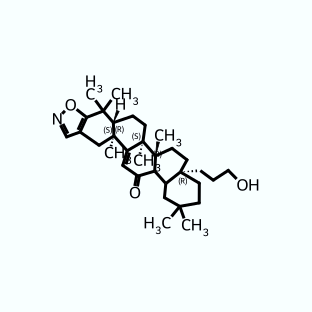 CC1(C)CC[C@]2(CCCO)CC[C@]3(C)C(C(=O)C=C4[C@@]5(C)Cc6cnoc6C(C)(C)[C@@H]5CC[C@]43C)C2C1